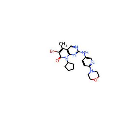 Cc1c(Br)c(=O)n(C2CCCC2)c2nc(Nc3ccc(N4CCOCC4)nc3)ncc12